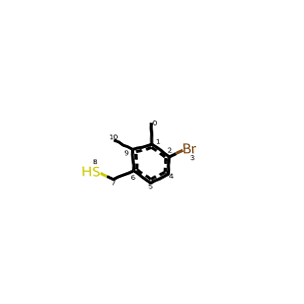 Cc1c(Br)ccc(CS)c1C